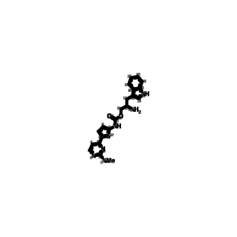 CNc1nccc(-c2ccc(NC(=O)OCC(N)Cc3c[nH]c4ccccc34)s2)n1